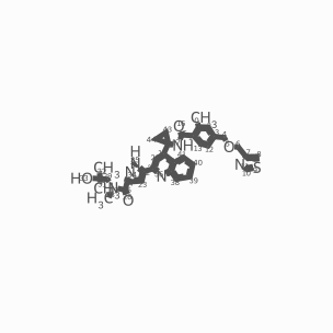 Cc1cc(COCc2cscn2)ccc1C(=O)NC1(c2cc(-c3cc(C(=O)N(C)CC(C)(C)O)n[nH]3)nc3ccccc23)CC1